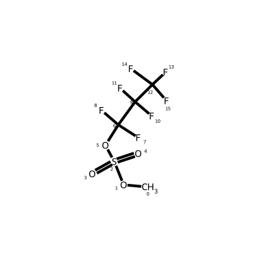 COS(=O)(=O)OC(F)(F)C(F)(F)C(F)(F)F